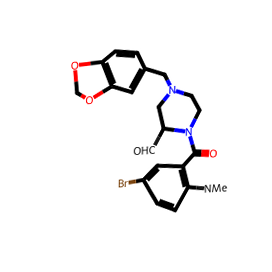 CNc1ccc(Br)cc1C(=O)N1CCN(Cc2ccc3c(c2)OCO3)CC1C=O